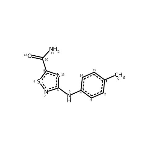 Cc1ccc(Nc2nsc(C(N)=O)n2)cc1